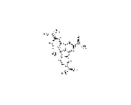 CC(=O)c1ccc(C(C)(c2ccc(C(C)=O)cc2)c2ccc(C(C)=O)cc2)cc1